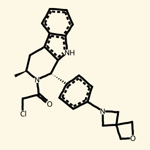 C[C@H]1Cc2c([nH]c3ccccc23)[C@H](c2ccc(N3CC4(COC4)C3)cc2)N1C(=O)CCl